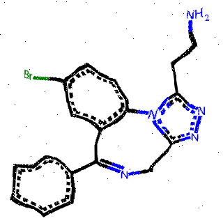 NCCc1nnc2n1-c1ccc(Br)cc1C(c1ccccc1)=NC2